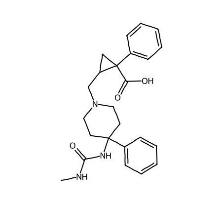 CNC(=O)NC1(c2ccccc2)CCN(CC2CC2(C(=O)O)c2ccccc2)CC1